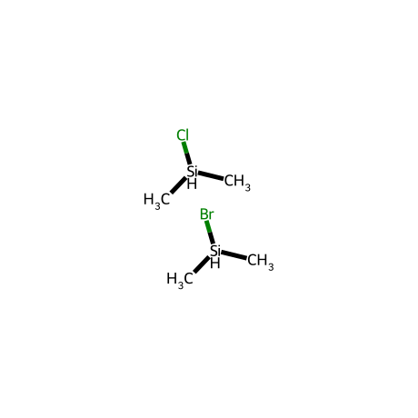 C[SiH](C)Br.C[SiH](C)Cl